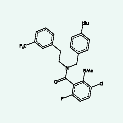 CNc1c(Cl)ccc(F)c1C(=O)N(CCc1cccc(C(F)(F)F)c1)Cc1ccc(C(C)(C)C)cc1